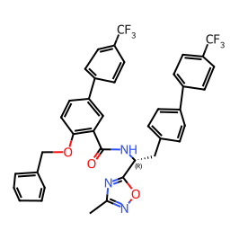 Cc1noc([C@@H](Cc2ccc(-c3ccc(C(F)(F)F)cc3)cc2)NC(=O)c2cc(-c3ccc(C(F)(F)F)cc3)ccc2OCc2ccccc2)n1